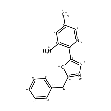 Nc1cc(C(F)(F)F)cnc1-c1nnc(Cc2ccccc2)o1